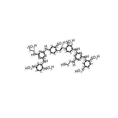 O=S(=O)(O)CCNc1nc(Nc2ccc(/C=C/c3ccc(Nc4nc(NCCS)nc(Nc5cc(S(=O)(=O)O)ccc5S(=O)(=O)O)n4)cc3S(=O)(=O)O)c(S(=O)(=O)O)c2)nc(Nc2cc(S(=O)(=O)O)ccc2S(=O)(=O)O)n1